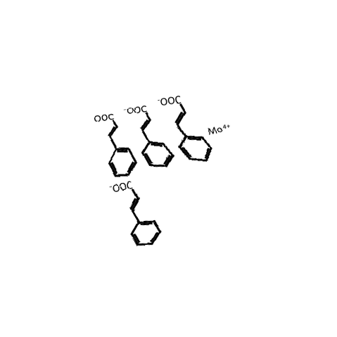 O=C([O-])C=Cc1ccccc1.O=C([O-])C=Cc1ccccc1.O=C([O-])C=Cc1ccccc1.O=C([O-])C=Cc1ccccc1.[Mo+4]